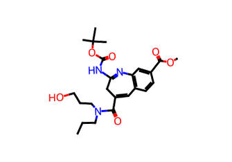 CCCN(CCCO)C(=O)C1=Cc2ccc(C(=O)OC)cc2N=C(NC(=O)OC(C)(C)C)C1